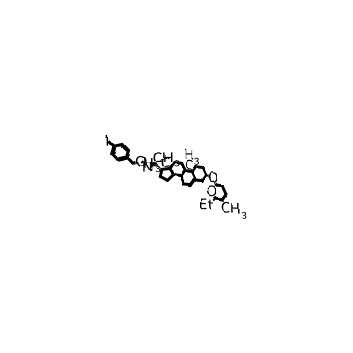 CC[C@H]1OC(OC2CC[C@@]3(C)C(=CCC4C3CC[C@@]3(C)C4CC[C@@H]3/C(C)=N/OCc3ccc(I)cc3)C2)C=C[C@@H]1C